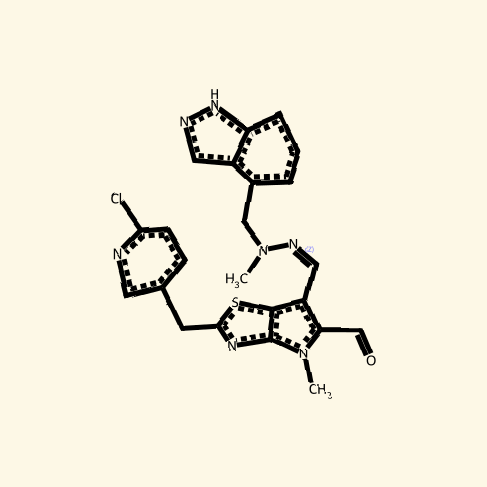 CN(Cc1cccc2[nH]ncc12)/N=C\c1c(C=O)n(C)c2nc(Cc3ccc(Cl)nc3)sc12